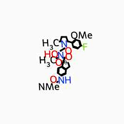 CNC(=O)Nc1ccc2c(c1)CC[C@@]21OC(C)(O)N(CC(=O)N2C(C)CCC2c2ccc(F)cc2OC)C1=O